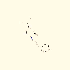 CS/C(C)=C/C=C\C(=C\COc1ccccn1)C(=O)Cl